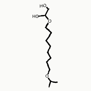 CC(C)OCCCCCCCCOC(O)CO